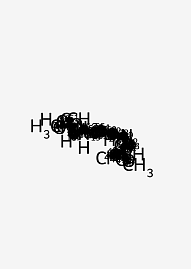 COC(=O)NC(C(=O)N1CCC[C@H]1c1ncc(-c2ccc3cc(-c4ccc(-c5cnc([C@@H]6CCCN6C(=O)[C@@H](NC(=O)OC)c6ccc(Cl)cc6)[nH]5)cc4)ccc3c2)[nH]1)C(C)C